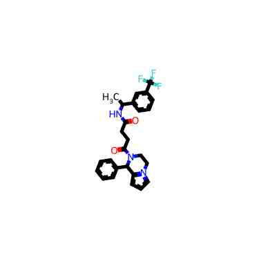 CC(NC(=O)CCC(=O)N1CCn2cccc2C1c1ccccc1)c1cccc(C(F)(F)F)c1